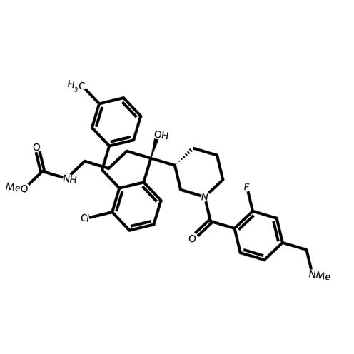 CNCc1ccc(C(=O)N2CCC[C@@H]([C@@](O)(CCCNC(=O)OC)c3cccc(Cl)c3Cc3cccc(C)c3)C2)c(F)c1